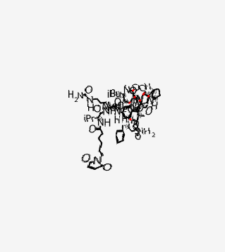 CC[C@H](C)[C@@H]([C@H](CC(=O)N1CCC[C@H]1[C@H](OC)[C@@H](C)C(=O)N[C@@H](Cc1ccccc1)CS(N)(=O)=O)OC)N(C)C(=O)[C@@H](NC(=O)[C@@H]1[C@H]2CC[C@H](C2)N1C(=O)OCc1ccc(NC(=O)[C@H](CCCNC(N)=O)NC(=O)[C@@H](NC(=O)CCCCCN2C(=O)C=CC2=O)C(C)C)cc1)C(C)C